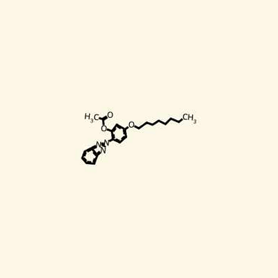 CCCCCCCCOc1ccc(-n2n3c4ccccc4n23)c(OC(C)=O)c1